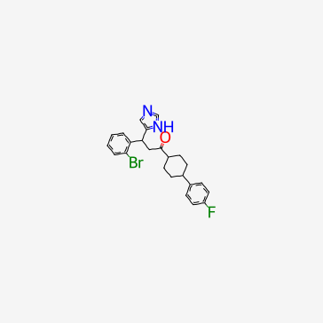 O=C(CC(c1cnc[nH]1)c1ccccc1Br)C1CCC(c2ccc(F)cc2)CC1